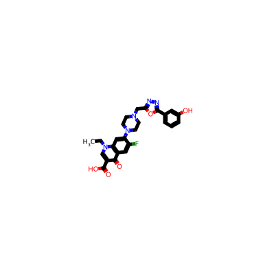 CCn1cc(C(=O)O)c(=O)c2cc(F)c(N3CCN(Cc4nnc(-c5cccc(O)c5)o4)CC3)cc21